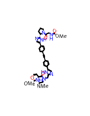 C=C[C@H](NC(=O)OC)C(=O)N(CCNC)Cc1ncc(-c2ccc(C#Cc3ccc(-c4cnc([C@@H]5CCCN5C(=O)CNC(=O)OC)[nH]4)cc3)cc2)[nH]1